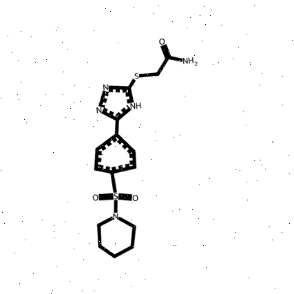 NC(=O)CSc1nnc(-c2ccc(S(=O)(=O)N3CCCCC3)cc2)[nH]1